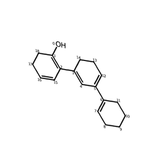 OC1=C(C2=CC(C3=CCCCC3)=CCC2)C=CCC1